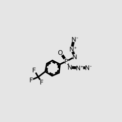 [N-]=[N+]=NP(=O)(N=[N+]=[N-])c1ccc(C(F)(F)F)cc1